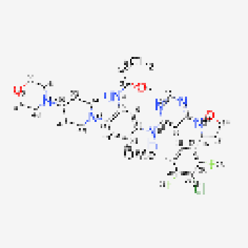 C=CC(=O)Nc1cc(Nc2cc(N3OCC[C@@H]3c3ccc(F)c(Cl)c3F)ncn2)c(OC)cc1N1CCC(N2CCOCC2)CC1